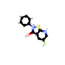 O=c1c2cc(F)cnc2sn1-c1ccccc1